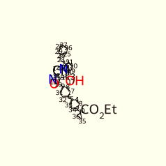 CCOC(=O)C1(c2ccc(-c3ccc(-c4onc(C)c4C(O)c4cccc(Cc5ccccc5)n4)cc3)cc2)CC1